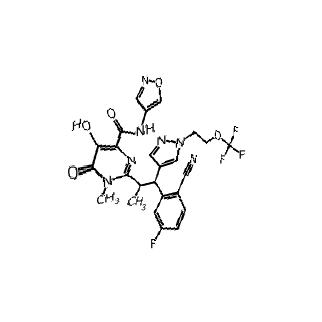 C[C@@H](c1nc(C(=O)Nc2cnoc2)c(O)c(=O)n1C)[C@@H](c1cnn(CCOC(F)(F)F)c1)c1cc(F)ccc1C#N